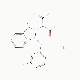 [Na+].[Na+].[O]C1c2ccccc2N(Cc2cccc(Cl)c2)N1C(C(=O)[O-])C(=O)[O-]